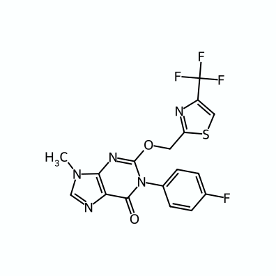 Cn1cnc2c(=O)n(-c3ccc(F)cc3)c(OCc3nc(C(F)(F)F)cs3)nc21